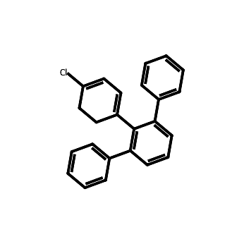 ClC1=CC=C(c2c(-c3ccccc3)cccc2-c2ccccc2)CC1